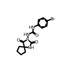 O=C(Nc1ccc(Br)cc1)NN1C(=O)NC2(CCCC2)C1=O